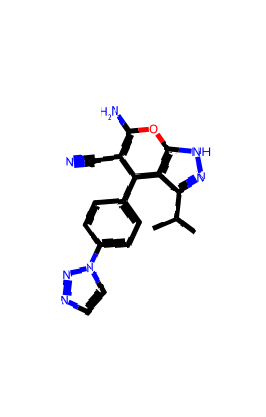 CC(C)c1n[nH]c2c1C(c1ccc(-n3ccnn3)cc1)C(C#N)=C(N)O2